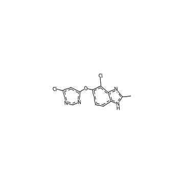 Cc1nc2c(Cl)c(Oc3cc(Cl)ncn3)ccc2[nH]1